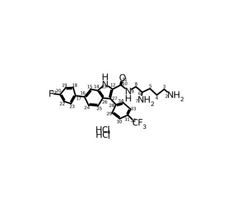 Cl.Cl.NCCCC(N)CNC(=O)c1[nH]c2cc(-c3ccc(F)cc3)ccc2c1-c1ccc(C(F)(F)F)cc1